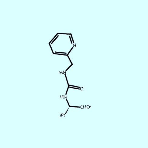 CC(C)[C@@H]([C]=O)NC(=O)NCc1ccccn1